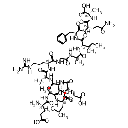 CC[C@H](C)[C@H](NC(=O)[C@H](C)NC(=O)CNC(=O)[C@H](CCCNC(=N)N)NC(=O)[C@H](C)NC(=O)[C@H](CC(C)C)NC(=O)[C@H](CCC(=O)O)NC(=O)[C@H](CC(C)C)NC(=O)[C@H](C)NC(=O)[C@@H](N)CCC(=O)O)C(=O)N[C@@H](Cc1ccccc1)C(=O)N[C@@H](CCC(N)=O)C(=O)N[C@@H](C)C(=O)O